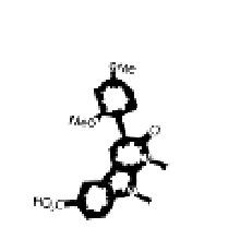 COc1ccc(-c2cc3c4cc(C(=O)O)ccc4n(C)c3n(C)c2=O)c(OC)c1